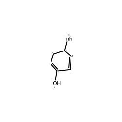 CCCC1C=CC(O)=CC1